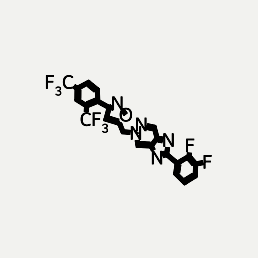 Fc1cccc(-c2nc3cnn(Cc4cc(-c5ccc(C(F)(F)F)cc5C(F)(F)F)no4)cc-3n2)c1F